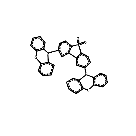 O=S1(=O)c2ccc(N3c4ccccc4Oc4ccccc43)cc2-c2cc(N3c4ccccc4Oc4ccccc43)ccc21